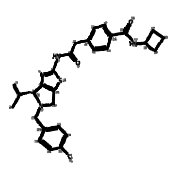 CC(C)[C@H]1c2nc(NC(=O)Cc3ccc(C(=O)NC4CCC4)cc3)sc2CN1Cc1ccc(Cl)cc1